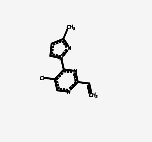 C=Cc1ncc(Cl)c(-n2ccc(C)n2)n1